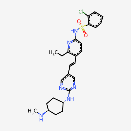 CCc1nc(NS(=O)(=O)c2ccccc2Cl)ccc1/C=C/c1cnc(N[C@H]2CC[C@H](NC)CC2)nc1